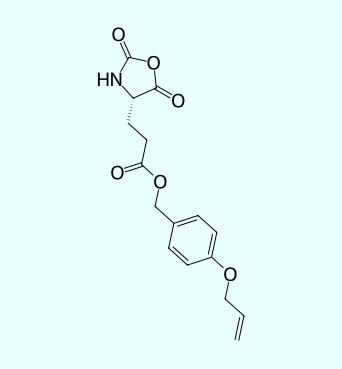 C=CCOc1ccc(COC(=O)CC[C@@H]2NC(=O)OC2=O)cc1